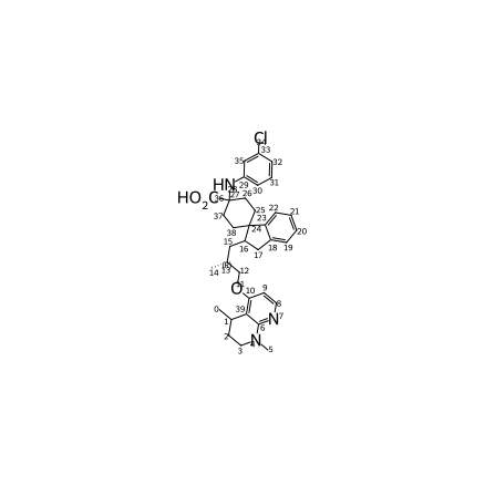 CC1CCN(C)c2nccc(OC[C@H](C)CC3Cc4ccccc4C34CCC(Nc3cccc(Cl)c3)(C(=O)O)CC4)c21